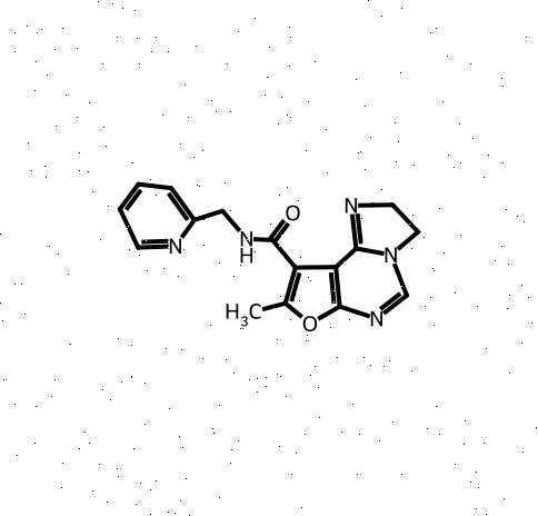 Cc1oc2c(c1C(=O)NCc1ccccn1)C1=NCCN1C=N2